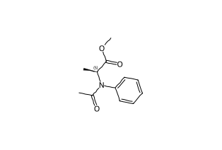 COC(=O)[C@H](C)N(C(C)=O)c1ccccc1